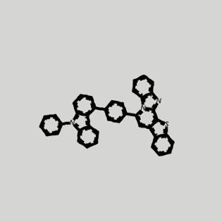 c1ccc(-n2c3ccccc3c3c(-c4ccc(-c5cc6c7ccccc7sc6c6nc7ccccc7n56)cc4)cccc32)cc1